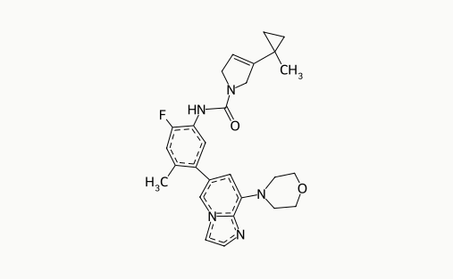 Cc1cc(F)c(NC(=O)N2CC=C(C3(C)CC3)C2)cc1-c1cc(N2CCOCC2)c2nccn2c1